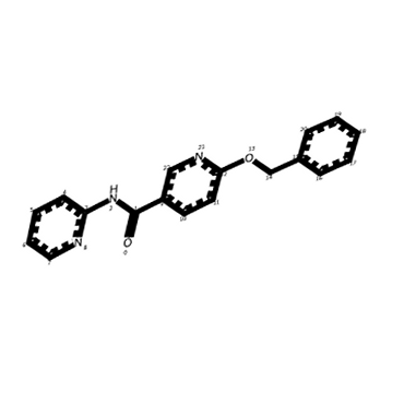 O=C(Nc1ccccn1)c1ccc(OCc2ccccc2)nc1